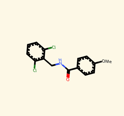 COc1ccc(C(=O)NCc2c(Cl)cccc2Cl)cc1